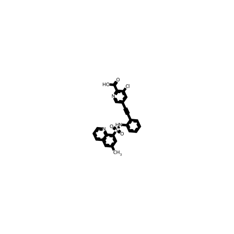 Cc1cc(S(=O)(=O)Nc2ccccc2C#Cc2cnc(C(=O)O)c(Cl)c2)c2ncccc2c1